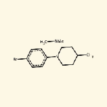 CC1CCN(c2ccc(Br)cc2)CC1.CNC